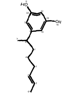 CC=CCCCC(C)c1cc(O)cc(O)c1